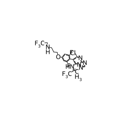 C[C@H](Nc1c(-c2c(F)cc(OCCCNCC(F)(F)F)cc2F)c(Cl)nc2ncnn12)C(F)(F)F